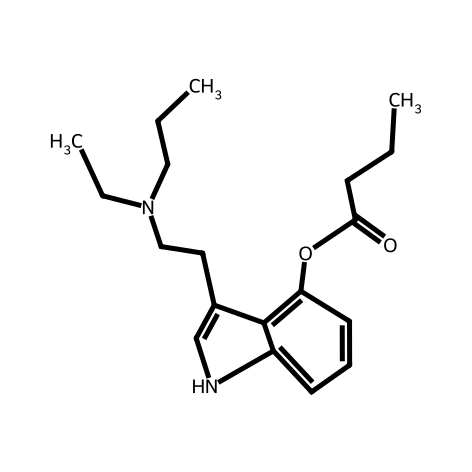 CCCC(=O)Oc1cccc2[nH]cc(CCN(CC)CCC)c12